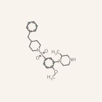 COc1ccc(S(=O)(=O)N2CCC(Cc3ccccc3)CC2)cc1N1CCNCC1C